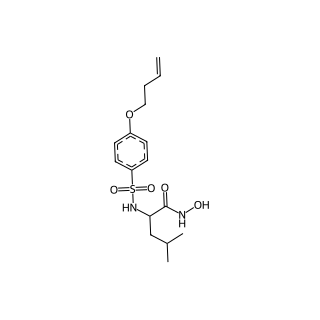 C=CCCOc1ccc(S(=O)(=O)NC(CC(C)C)C(=O)NO)cc1